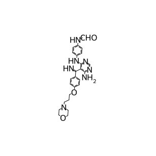 N=C(c1ccc(OCCCN2CCOCC2)cc1)c1c(N)ncnc1Nc1ccc(NC=O)cc1